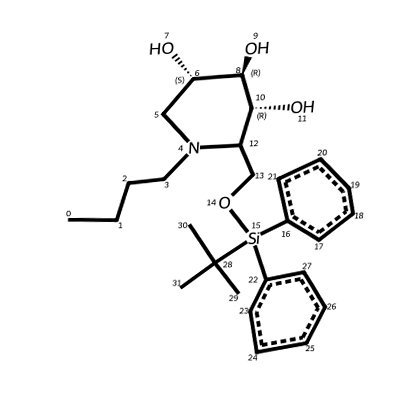 CCCCN1C[C@H](O)[C@@H](O)[C@H](O)C1CO[Si](c1ccccc1)(c1ccccc1)C(C)(C)C